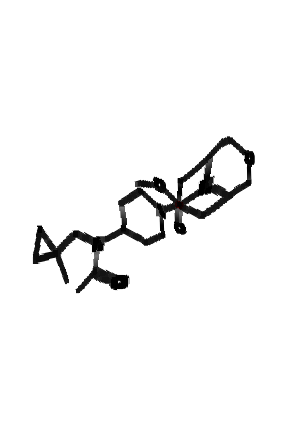 COC(=O)N1C2COCC1CC(N1CCC(N(CC3(C)CC3)C(C)=O)CC1)C2